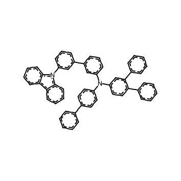 c1ccc(-c2ccc(N(c3cccc(-c4cccc(-n5c6ccccc6c6ccccc65)c4)c3)c3ccc(-c4ccccc4)c(-c4ccccc4)c3)cc2)cc1